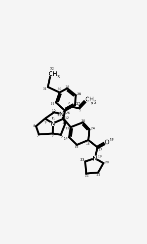 C=CCN1CCC2CCC(C1)N2C(C1=CCC(C(=O)N2CCCC2)C=C1)c1cccc(CC)c1